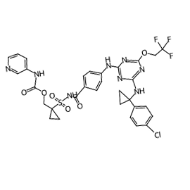 O=C(Nc1cccnc1)OCC1(S(=O)(=O)NC(=O)c2ccc(Nc3nc(NC4(c5ccc(Cl)cc5)CC4)nc(OCC(F)(F)F)n3)cc2)CC1